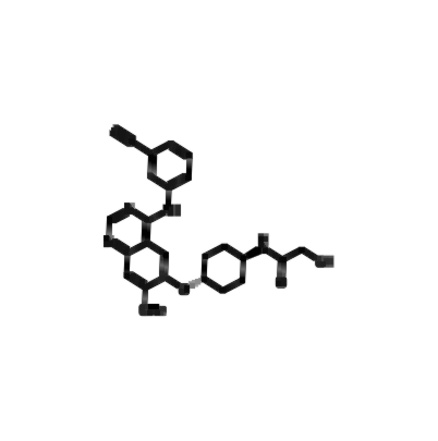 C#Cc1cccc(Nc2ncnc3cc(OC)c(O[C@H]4CC[C@H](NC(=O)CO)CC4)cc23)c1